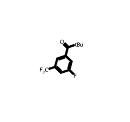 CC(C)(C)C(=O)c1cc(F)cc(C(F)(F)F)c1